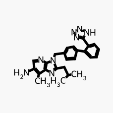 Cc1c(N)cnc2c1nc(CC(C)C)n2Cc1ccc(-c2ccccc2-c2nnn[nH]2)cc1